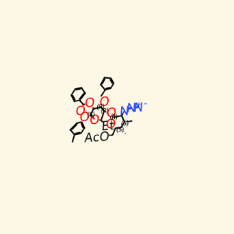 CCC1O[C@@H](Oc2ccc(C)cc2)C(OC(=O)c2ccccc2)[C@H](OCc2ccccc2)[C@@H]1O[C@H]1OC(COC(C)=O)[C@@H](C)[C@H](C)C1N=[N+]=[N-]